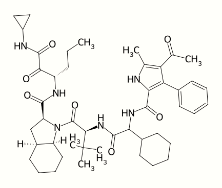 CCC[C@H](NC(=O)[C@@H]1C[C@@H]2CCCC[C@@H]2N1C(=O)[C@@H](NC(=O)C(NC(=O)c1[nH]c(C)c(C(C)=O)c1-c1ccccc1)C1CCCCC1)C(C)(C)C)C(=O)C(=O)NC1CC1